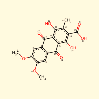 COc1cc2c(cc1OC)C(=O)c1c(O)c(C(=O)O)c(C)c(O)c1C2=O